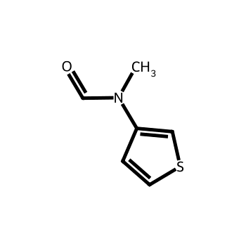 CN(C=O)c1ccsc1